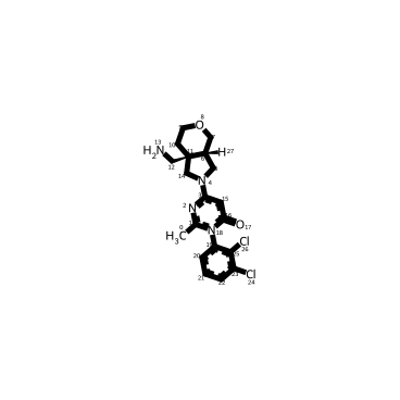 Cc1nc(N2C[C@H]3COCC[C@@]3(CN)C2)cc(=O)n1-c1cccc(Cl)c1Cl